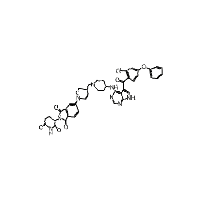 O=C1CCC(N2C(=O)c3ccc(N4CCC(CN5CCC(Nc6ncnc7[nH]cc(C(=O)c8ccc(Oc9ccccc9)cc8Cl)c67)CC5)CC4)cc3C2=O)C(=O)N1